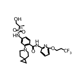 C[C@H](CO)S(=O)(=O)Nc1ccc(C(=O)Nc2cccc(OCCC(F)(F)F)n2)c(N2CCC3(CC2)CC3)c1